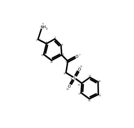 NCc1ccc(C(=O)CS(=O)(=O)c2ccccc2)cc1